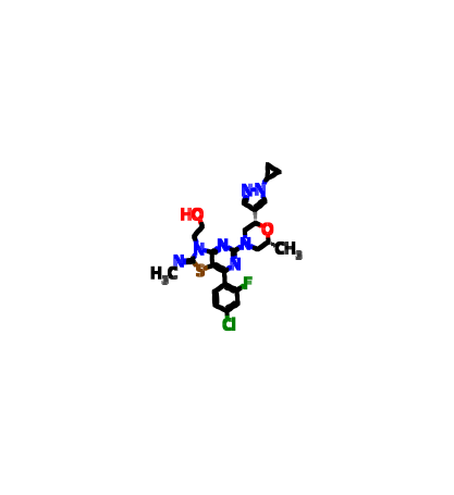 C/N=c1\sc2c(-c3ccc(Cl)cc3F)nc(N3C[C@@H](C)O[C@@H](c4cnn(C5CC5)c4)C3)nc2n1CCO